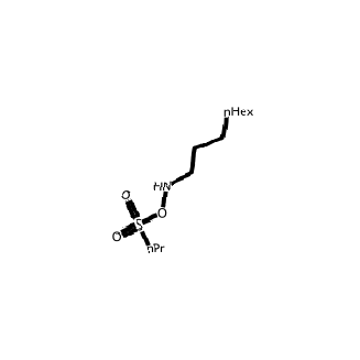 CCCCCCCCCNOS(=O)(=O)CCC